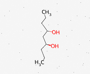 CCCC(O)C[C@@H](O)CCC